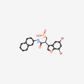 O=C(Nc1ccc2ccccc2c1)C(C[PH](=O)O)c1coc2c(Br)cc(Br)cc12